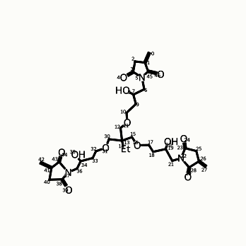 C=C1CC(=O)N(CC(O)CCOCC(CC)(COCCC(O)CN2C(=O)CC(=C)C2=O)COCCC(O)CN2C(=O)CC(=C)C2=O)C1=O